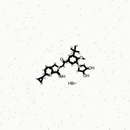 Br.COc1c(N2CC(O)C(O)C2)cc(C(=O)CN2Cc3ccc(C4CC4)nc3C2=N)cc1C(C)(C)C